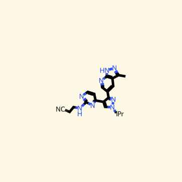 Cc1n[nH]c2ncc(-c3nn(C(C)C)cc3-c3ccnc(NCCC#N)n3)cc12